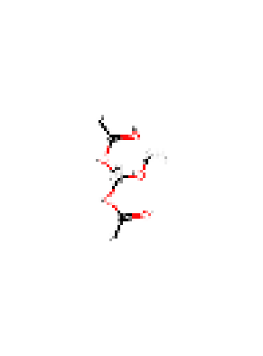 CC(=O)O[SiH](O[SiH3])OC(C)=O